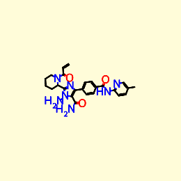 C=CC(=O)N1CCCCC1c1nc(-c2ccc(C(=O)Nc3ccc(C)cn3)cc2)c(C(N)=O)n1N